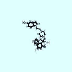 OC(CN1CCN(CCn2ccc3cc(Br)ccc32)CC1)(Cn1cncn1)c1ccc(F)cc1F